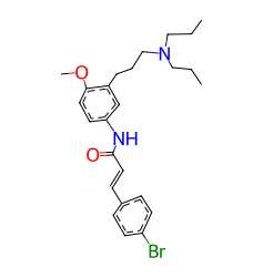 CCCN(CCC)CCCc1cc(NC(=O)C=Cc2ccc(Br)cc2)ccc1OC